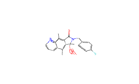 Cc1c2c(c(C)c3ncccc13)C(=O)N(Cc1ccc(F)cc1)C2(C)O